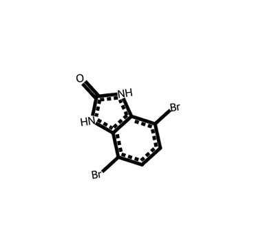 O=c1[nH]c2c(Br)ccc(Br)c2[nH]1